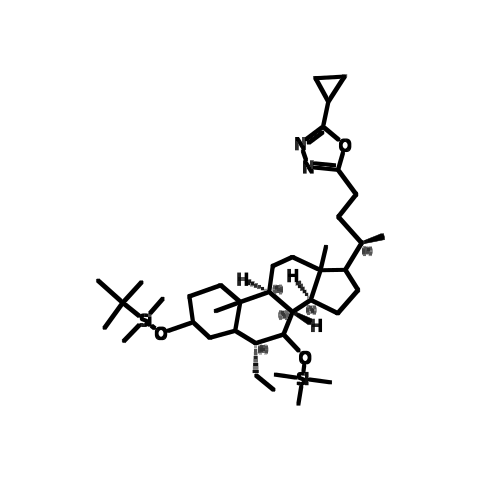 CC[C@H]1C(O[Si](C)(C)C)[C@@H]2[C@H](CCC3(C)C([C@H](C)CCc4nnc(C5CC5)o4)CC[C@@H]23)C2(C)CCC(O[Si](C)(C)C(C)(C)C)CC12